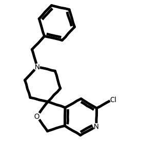 Clc1cc2c(cn1)COC21CCN(Cc2ccccc2)CC1